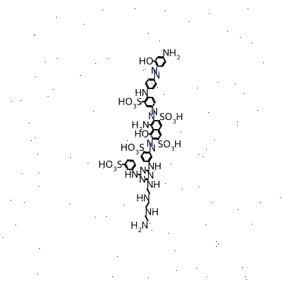 NCCNCCNCCNc1nc(Nc2cccc(S(=O)(=O)O)c2)nc(Nc2ccc(S(=O)(=O)O)c(/N=N/c3c(S(=O)(=O)O)cc4cc(S(=O)(=O)O)c(/N=N/c5ccc(Nc6ccc(/N=N/c7ccc(N)cc7O)cc6)c(S(=O)(=O)O)c5)c(N)c4c3O)c2)n1